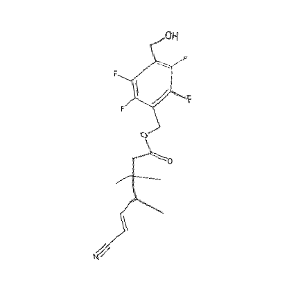 CC(C=CC#N)C(C)(C)CC(=O)OCc1c(F)c(F)c(CO)c(F)c1F